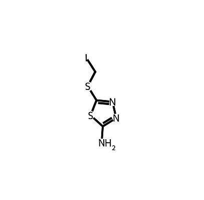 Nc1nnc(SCI)s1